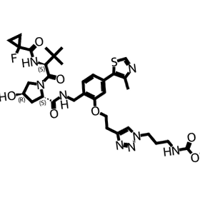 Cc1ncsc1-c1ccc(CNC(=O)[C@@H]2C[C@@H](O)CN2C(=O)[C@@H](NC(=O)C2(F)CC2)C(C)(C)C)c(OCCc2cn(CCCNC(=O)O)nn2)c1